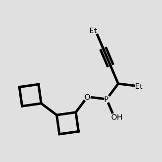 CCC#CC(CC)P(O)OC1CCC1C1CCC1